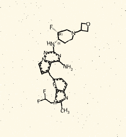 Cc1nc2ccc(-c3ccn4nc(N[C@H]5CCN(C6COC6)C[C@H]5F)nc(N)c34)nc2n1CC(F)F